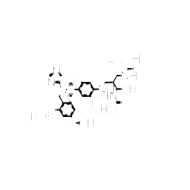 COc1ccc(CN(c2ncns2)S(=O)(=O)c2cc(F)c(NCC(CNC(C)C)C(C)NC(=O)O)cc2F)c(OC)c1